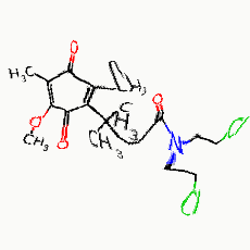 COC1=C(C)C(=O)C(C)=C(C(C)(C)CC(=O)N(CCCl)CCCl)C1=O